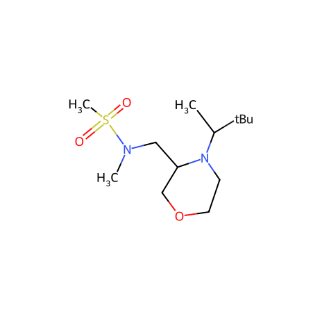 CC(N1CCOCC1CN(C)S(C)(=O)=O)C(C)(C)C